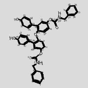 O=C(NCc1ccccc1)Oc1ccc(Oc2ccc(OC(=O)NCc3ccccc3)cc2-c2ccc(O)cc2)c(-c2ccc(O)cc2)c1